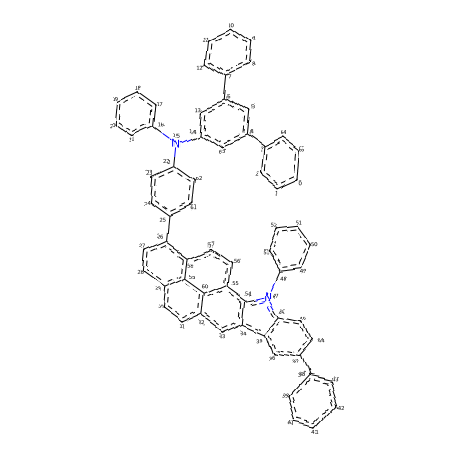 c1ccc(-c2cc(-c3ccccc3)cc(N(c3ccccc3)c3ccc(-c4ccc5ccc6cc7c8cc(-c9ccccc9)ccc8n(-c8ccccc8)c7c7ccc4c5c67)cc3)c2)cc1